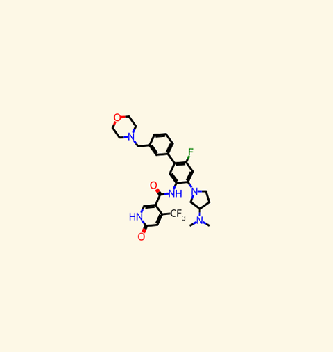 CN(C)C1CCN(c2cc(F)c(-c3cccc(CN4CCOCC4)c3)cc2NC(=O)c2c[nH]c(=O)cc2C(F)(F)F)C1